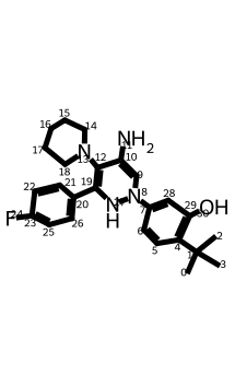 CC(C)(C)c1ccc(N2C=C(N)C(N3CCCCC3)=C(c3ccc(F)cc3)N2)cc1O